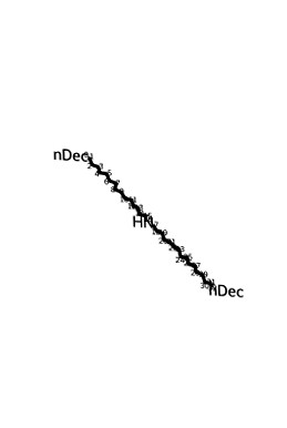 CCCCCCCCCCCCCCCCCCCCCCCCCNCCCCCCCCCCCCCCCCCCCCCCCCC